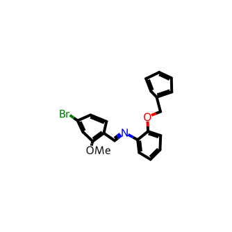 COc1cc(Br)ccc1C=Nc1ccccc1OCc1ccccc1